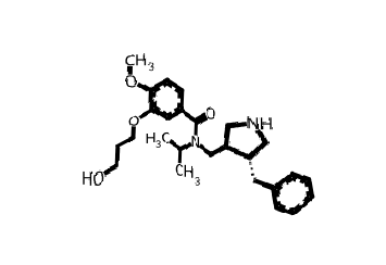 COc1ccc(C(=O)N(CC2CNC[C@@H]2Cc2ccccc2)C(C)C)cc1OCCCO